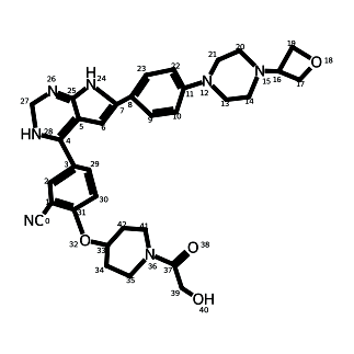 N#Cc1cc(C2=c3cc(-c4ccc(N5CCN(C6COC6)CC5)cc4)[nH]c3=NCN2)ccc1OC1CCN(C(=O)CO)CC1